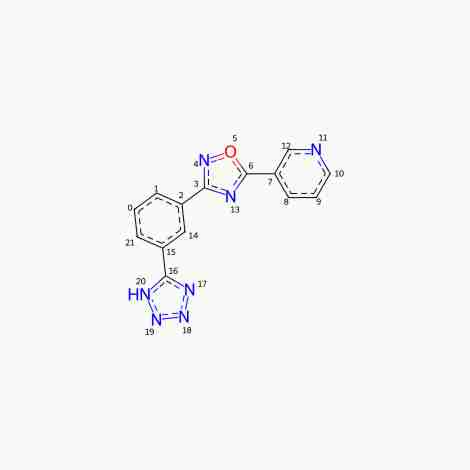 c1cc(-c2noc(-c3cccnc3)n2)cc(-c2nnn[nH]2)c1